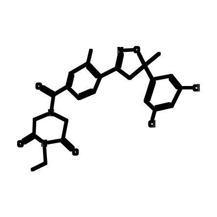 CCN1C(=O)CN(C(=O)c2ccc(C3=NOC(C)(c4cc(Cl)cc(Cl)c4)C3)c(C)c2)CC1=O